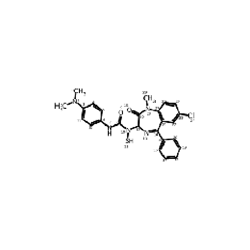 CN(C)c1ccc(NC(=O)N(S)C2N=C(c3ccccc3)c3cc(Cl)ccc3N(C)C2=O)cc1